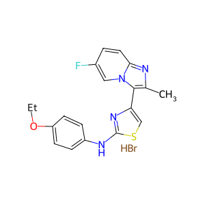 Br.CCOc1ccc(Nc2nc(-c3c(C)nc4ccc(F)cn34)cs2)cc1